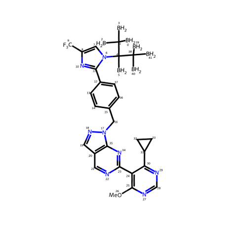 BC(B)(B)C(B)(n1cc(C(F)(F)F)nc1-c1ccc(Cn2ncc3cnc(-c4c(OC)ncnc4C4CC4)nc32)cc1)C(B)(B)B